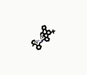 Cc1ccc[n+](C)c1-c1ccccc1C/C=C/c1cccc2c3cc(C(C)(C)C)cc4c5ccccc5c5cc[n+](C)c(c12)c5c43